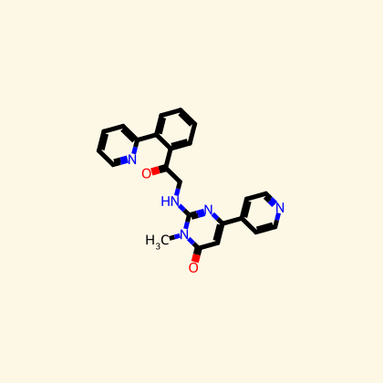 Cn1c(NCC(=O)c2ccccc2-c2ccccn2)nc(-c2ccncc2)cc1=O